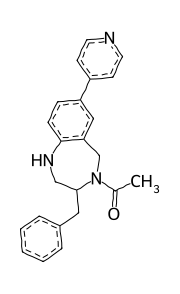 CC(=O)N1Cc2cc(-c3ccncc3)ccc2NCC1Cc1ccccc1